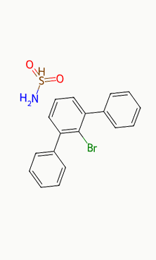 Brc1c(-c2ccccc2)cccc1-c1ccccc1.N[SH](=O)=O